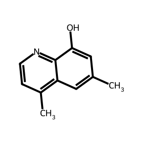 Cc1cc(O)c2nccc(C)c2c1